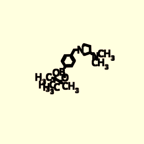 CN(C)C1CCN(Cc2ccc(B3OC(C)(C)C(C)(C)O3)cc2)C1